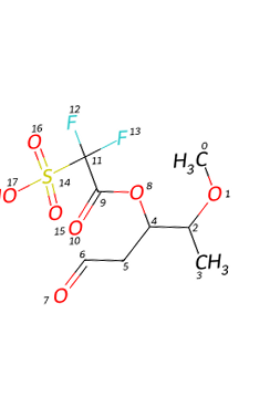 COC(C)C(CC=O)OC(=O)C(F)(F)S(=O)(=O)O